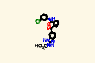 O=C(O)Nc1nc2ccc(C(=O)c3ccccc3C(=O)Nc3cccc(Cl)c3)cc2[nH]1